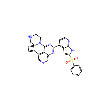 O=S(=O)(c1ccccc1)c1cc2c(-c3nc(N4CCNCC4)c4c(C5=CC=C5)cncc4n3)ccnc2[nH]1